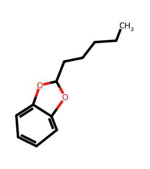 CCCCC[C]1Oc2ccccc2O1